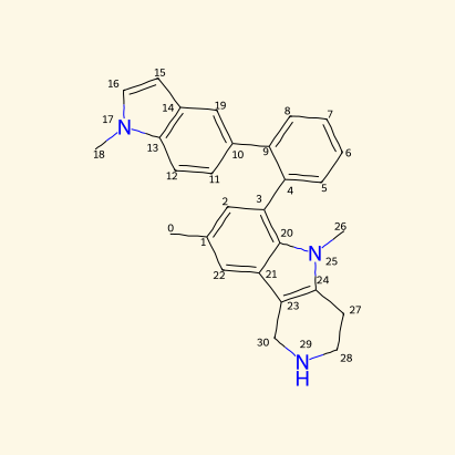 Cc1cc(-c2ccccc2-c2ccc3c(ccn3C)c2)c2c(c1)c1c(n2C)CCNC1